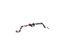 CCCCCCCC/C=C\CCCCCCCCCCCC(=O)OCC(O)COC(=O)CCCCCCCCCCC/C=C\CCCCCCCC